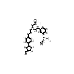 CC#N.CCCN(CCCc1ccc(C2CCC(F)C2)cc1)CCc1ccccc1